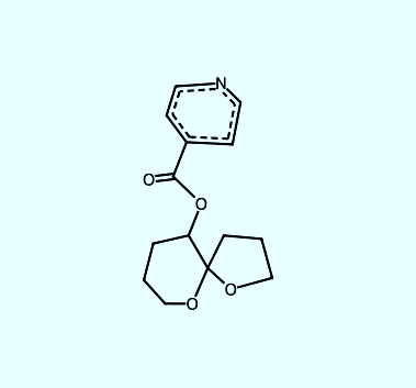 O=C(OC1CCCOC12CCCO2)c1ccncc1